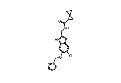 O=C(NCc1cc2cc(Cl)c(OCc3cscn3)cc2[nH]1)C1CC12CC2